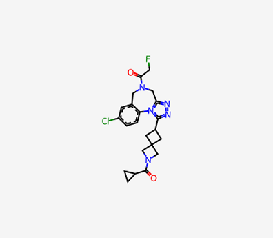 O=C(CF)N1Cc2cc(Cl)ccc2-n2c(nnc2C2CC3(C2)CN(C(=O)C2CC2)C3)C1